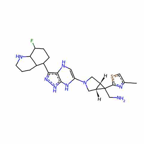 Cc1csc(C2(CN)[C@@H]3CN(C4=CNc5c(C6CCC(F)C7NCCCC67)n[nH]c5N4)C[C@@H]32)n1